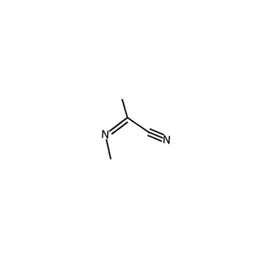 C/N=C(/C)C#N